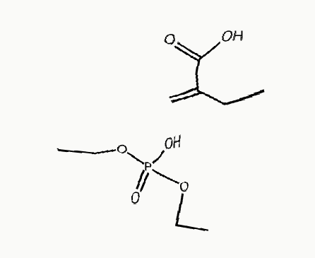 C=C(CC)C(=O)O.CCOP(=O)(O)OCC